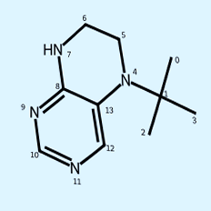 CC(C)(C)N1CCNc2ncncc21